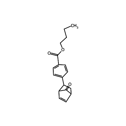 CCCCOC(=O)c1ccc(C2CC3C=CC2C3=O)cc1